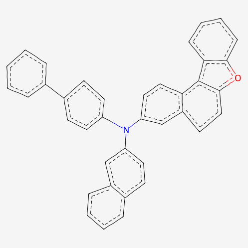 c1ccc(-c2ccc(N(c3ccc4ccccc4c3)c3ccc4c(ccc5oc6ccccc6c54)c3)cc2)cc1